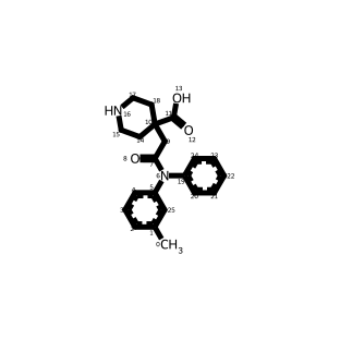 Cc1cccc(N(C(=O)CC2(C(=O)O)CCNCC2)c2ccccc2)c1